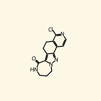 O=C1NCCCn2nc3c(c21)CCc1c-3ccnc1Cl